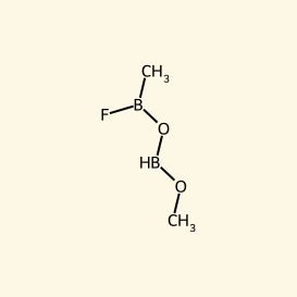 COBOB(C)F